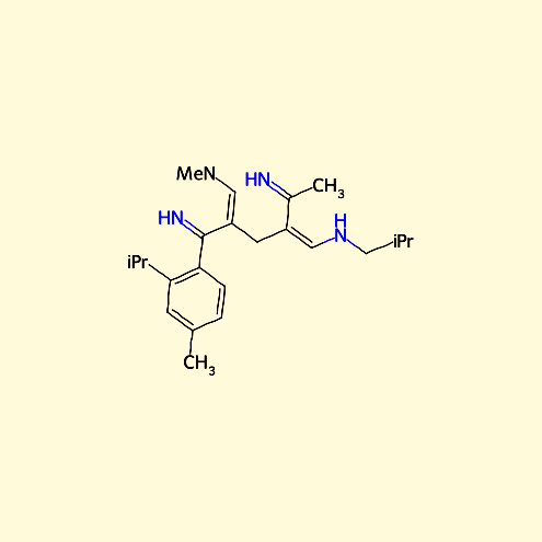 CN/C=C(/C/C(=C/NCC(C)C)C(C)=N)C(=N)c1ccc(C)cc1C(C)C